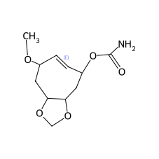 COC1/C=C/C(OC(N)=O)CC2OCOC2C1